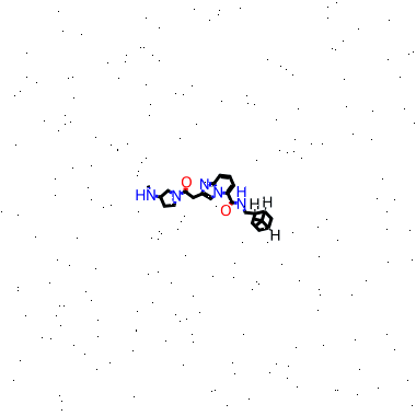 CNC1CCN(C(=O)Cc2cn3c(C(=O)NC[C@@H]4CC[C@@H]5C[C@H]4C5(C)C)cccc3n2)C1